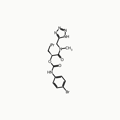 CC(C)C[C@H](OC(=O)Nc1ccc(Br)cc1)C(=O)N(C)Cc1nnn[nH]1